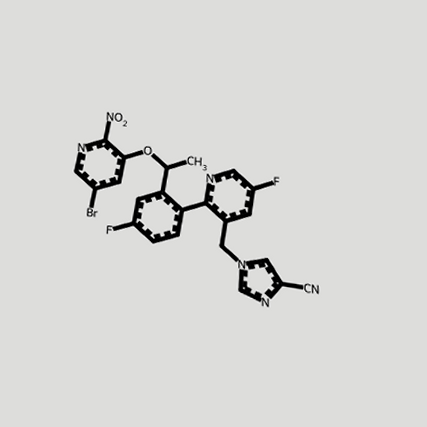 CC(Oc1cc(Br)cnc1[N+](=O)[O-])c1cc(F)ccc1-c1ncc(F)cc1Cn1cnc(C#N)c1